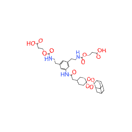 O=C(O)CCOC(=O)NCCc1cc(CCNC(=O)OCCC(=O)O)cc(NC(=O)CC2CCC3(CC2)OOC2(OO3)C3CC4CC(C3)CC2C4)c1